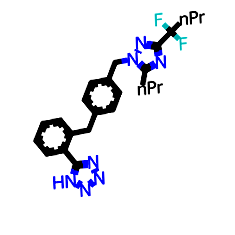 CCCc1nc(C(F)(F)CCC)nn1Cc1ccc(Cc2ccccc2-c2nnn[nH]2)cc1